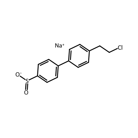 O=S([O-])c1ccc(-c2ccc(CCCl)cc2)cc1.[Na+]